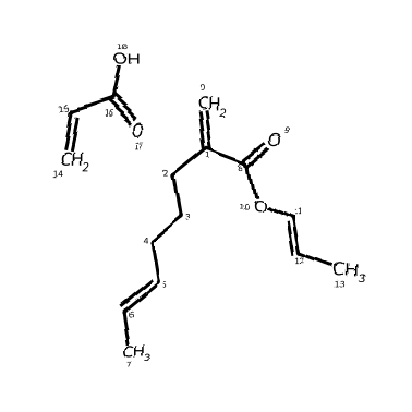 C=C(CCCC=CC)C(=O)OC=CC.C=CC(=O)O